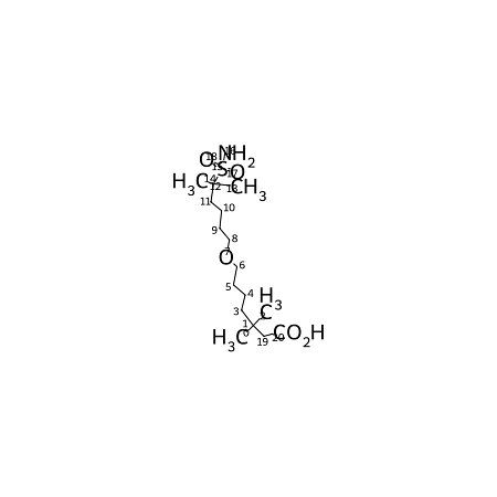 CC(C)(CCCCOCCCCC(C)(C)S(N)(=O)=O)CC(=O)O